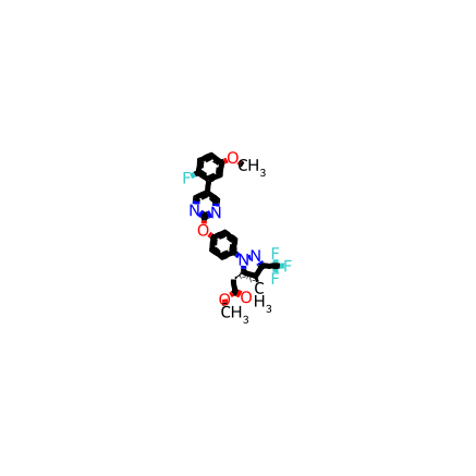 COC(=O)C[C@H]1[C@H](C)C(C(F)(F)F)=NN1c1ccc(Oc2ncc(-c3cc(OC)ccc3F)cn2)cc1